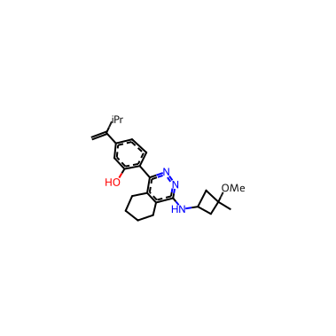 C=C(c1ccc(-c2nnc(NC3CC(C)(OC)C3)c3c2CCCC3)c(O)c1)C(C)C